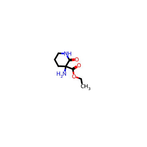 CCOC(=O)C1(N)CCCNC1=O